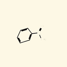 CC[CH](C)[Sn](=[O])[c]1ccccc1